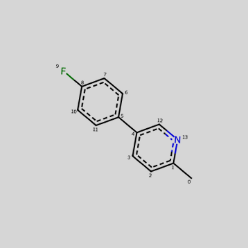 Cc1ccc(-c2ccc(F)cc2)cn1